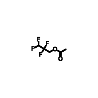 CC(=O)OCC(F)(F)C(F)F